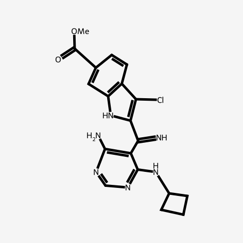 COC(=O)c1ccc2c(Cl)c(C(=N)c3c(N)ncnc3NC3CCC3)[nH]c2c1